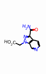 NC(=O)c1nn(CC(=O)O)c2cnccc12